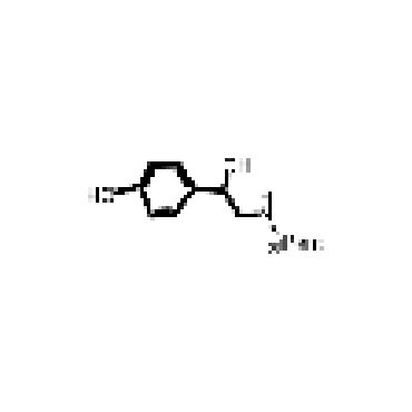 CCC[C@@H](C)NCC(O)c1ccc(O)cc1